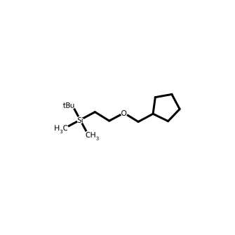 CC(C)(C)[Si](C)(C)CCOCC1CCCC1